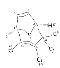 C[C@]12C=C[C@H](O1)C(Cl)(Cl)C(Cl)=C2Cl